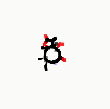 C=C1C(=O)O[C@@H]2C[C@@H](C)[C@@H](CC)/C=C\C(=O)C[C@@H](O)[C@H]12